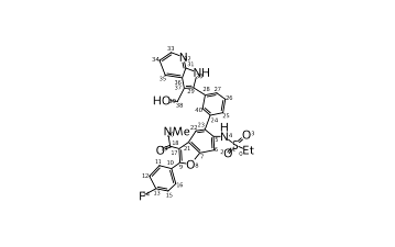 CCS(=O)(=O)Nc1cc2oc(-c3ccc(F)cc3)c(C(=O)NC)c2cc1-c1cccc(-c2[nH]c3ncccc3c2CO)c1